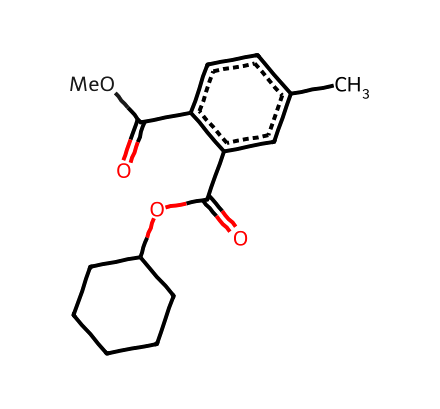 COC(=O)c1ccc(C)cc1C(=O)OC1CCCCC1